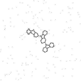 c1ccc2c(c1)c1ccccc1n2-c1ccc2c(c1)c1ccccc1n2-c1ccc2c(c1)sc1nccnc12